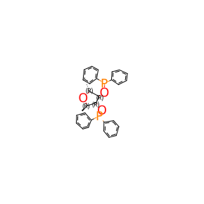 C[C@H]1O[C@H](C)[C@@H](OP(c2ccccc2)c2ccccc2)[C@@H]1OP(c1ccccc1)c1ccccc1